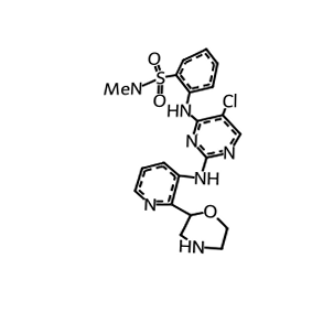 CNS(=O)(=O)c1ccccc1Nc1nc(Nc2cccnc2C2CNCCO2)ncc1Cl